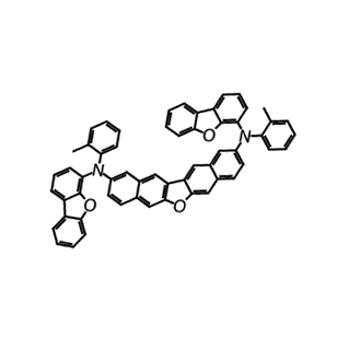 Cc1ccccc1N(c1ccc2cc3oc4cc5ccc(N(c6ccccc6C)c6cccc7c6oc6ccccc67)cc5cc4c3cc2c1)c1cccc2c1oc1ccccc12